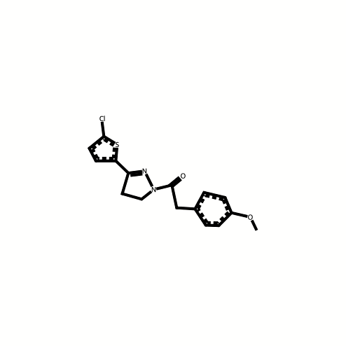 COc1ccc(CC(=O)N2CCC(c3ccc(Cl)s3)=N2)cc1